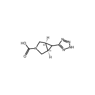 O=C(O)N1C[C@@H]2C(c3nn[nH]n3)[C@@H]2C1